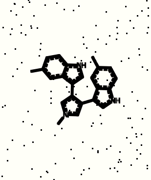 Cc1ccc2[nH]cc(-c3cn(C)cc3-c3c[nH]c4ccc(C)cc34)c2c1